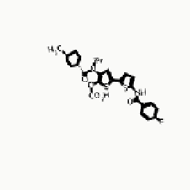 CC(C)N(c1cc(-c2ccc(NC(=O)c3ccc(F)cc3)s2)sc1OC(=O)O)C(=O)[C@H]1CC[C@H](C)CC1